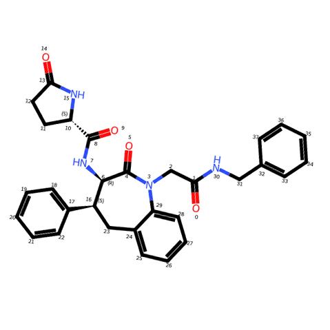 O=C(CN1C(=O)[C@H](NC(=O)[C@@H]2CCC(=O)N2)[C@H](c2ccccc2)Cc2ccccc21)NCc1ccccc1